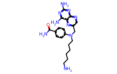 NCCCCCCN(Cc1cnc2nc(N)nc(N)c2n1)c1ccc(C(N)=O)cc1